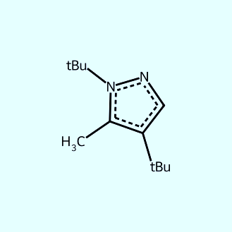 Cc1c(C(C)(C)C)cnn1C(C)(C)C